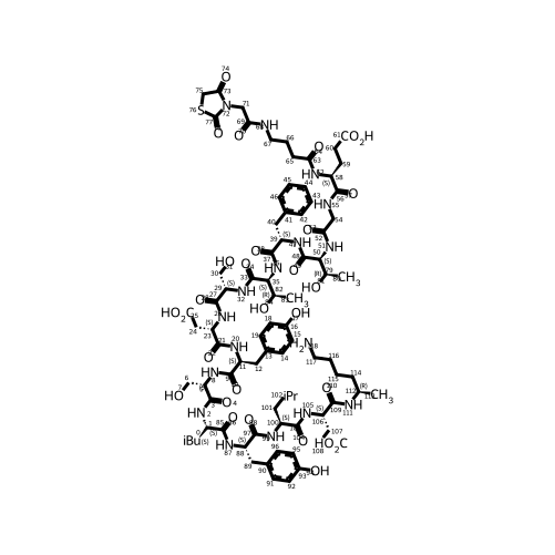 CC[C@H](C)[C@H](NC(=O)[C@H](CO)NC(=O)[C@H](Cc1ccc(O)cc1)NC(=O)[C@H](CC(=O)O)NC(=O)[C@H](CO)NC(=O)[C@@H](NC(=O)[C@H](Cc1ccccc1)NC(=O)[C@@H](NC(=O)CNC(=O)[C@H](CCC(=O)O)NC(=O)CCCNC(=O)CN1C(=O)CSC1=O)[C@@H](C)O)[C@@H](C)O)C(=O)N[C@@H](Cc1ccc(O)cc1)C(=O)N[C@@H](CC(C)C)C(=O)N[C@@H](CC(=O)O)C(=O)N[C@H](C)CCCCN